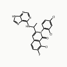 CC(Nc1ncnc2[nH]cnc12)c1cc2ccc(F)c(Cl)c2c(=O)n1-c1ccc(Cl)cc1Cl